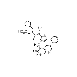 CN1C(=O)NCc2ncc(-c3ccccc3-c3csc(N(C(=O)[C@@H](CC(=O)O)CC4CCCC4)C4CC4)n3)cc21